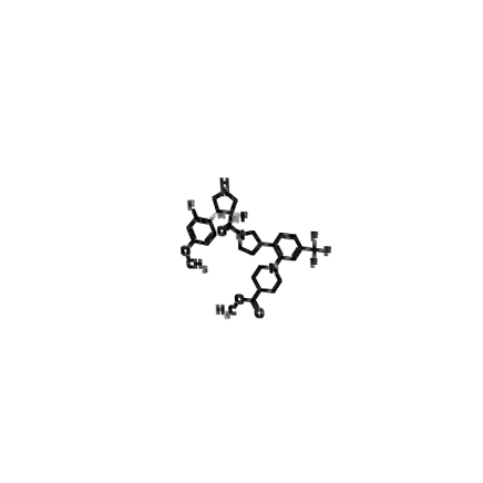 COC(=O)C1CCN(c2cc(C(F)(F)F)ccc2C2CCN(C(=O)[C@]3(F)CNC[C@H]3c3ccc(OC)cc3F)C2)CC1